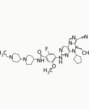 CC[C@@H]1c2c(C#N)ncn2-c2cnc(Nc3cc(F)c(C(=O)NC4CCN(C5CCN(CC)CC5)CC4)cc3OC)nc2N1C1CCCC1